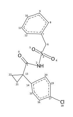 O=C(NS(=O)(=O)Cc1ccccc1)C1(c2ccc(Cl)cc2)CC1